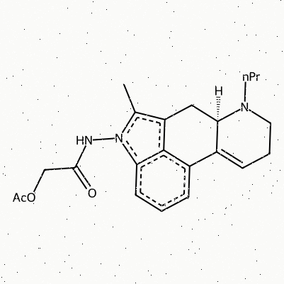 CCCN1CCC=C2c3cccc4c3c(c(C)n4NC(=O)COC(C)=O)C[C@H]21